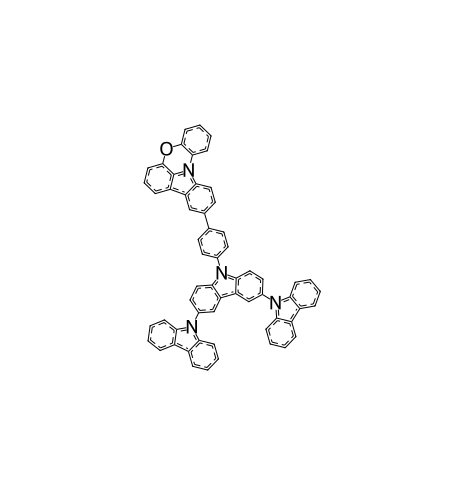 c1ccc2c(c1)Oc1cccc3c4cc(-c5ccc(-n6c7ccc(-n8c9ccccc9c9ccccc98)cc7c7cc(-n8c9ccccc9c9ccccc98)ccc76)cc5)ccc4n-2c13